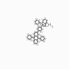 CC12C=CC=CC1N(c1ccccc1)C(c1ccc(-c3ccc4c(C5=CCCC=C5)c5ccccc5c(-c5ccccc5)c4c3)cc1)=N2